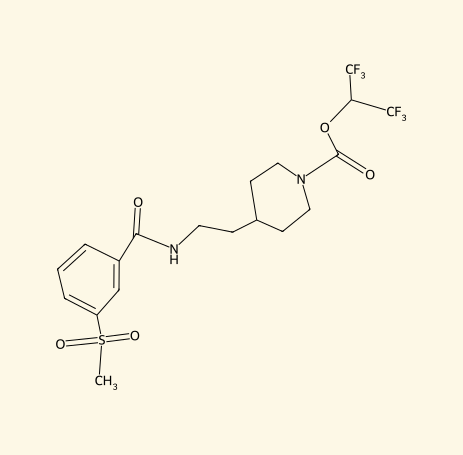 CS(=O)(=O)c1cccc(C(=O)NCCC2CCN(C(=O)OC(C(F)(F)F)C(F)(F)F)CC2)c1